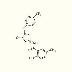 Cc1ccc(O)c(C(=O)N[C@@H]2CC(=O)N(Cc3ccc(C(F)(F)F)cc3)C2)c1